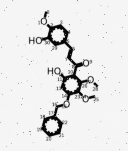 COc1ccc(C=CC(=O)c2c(O)cc(OCc3ccccc3)c(OC)c2OC)cc1O